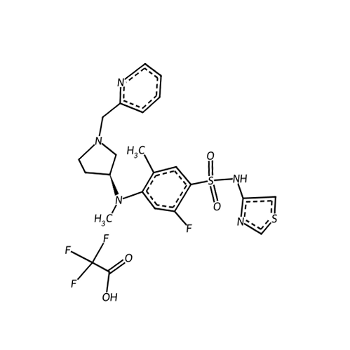 Cc1cc(S(=O)(=O)Nc2cscn2)c(F)cc1N(C)[C@H]1CCN(Cc2ccccn2)C1.O=C(O)C(F)(F)F